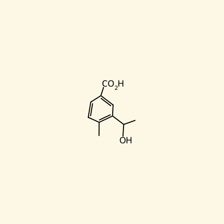 Cc1ccc(C(=O)O)cc1C(C)O